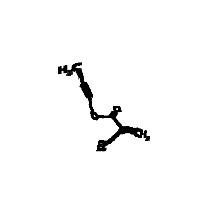 C=C(CC)C(=O)OC#CC